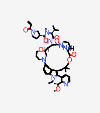 C=CC(=O)N1CC[C@H](C(=O)N(C)[C@H](C(=O)NC2C[C@H]3CN(CCCO3)c3ccc4c(c3)c(c(-c3cccnc3[C@H](C)OC)n4CC)CC(C)(C)COC(=O)[C@@H]3CCCN(N3)C2=O)C(C)C)C1